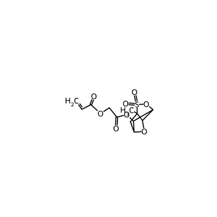 C=CC(=O)OCC(=O)OC1C2CC3(C)C(O2)C1OS3(=O)=O